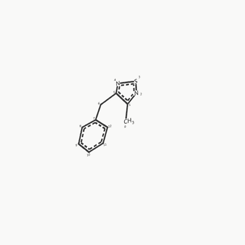 Cc1nsnc1Cc1ccccc1